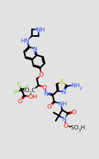 CC1(C)C(NC(=O)C(=NOC(COc2ccc3nc(NC4CNC4)ccc3c2)C(=O)O)c2csc(N)n2)C(=O)N1OS(=O)(=O)O.O=C(O)C(F)(F)F